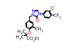 CCOC(=O)C(C)(C)Oc1ccc(Cn2ncn(-c3ccc(C(F)(F)F)c(Cl)c3)c2=O)cc1C